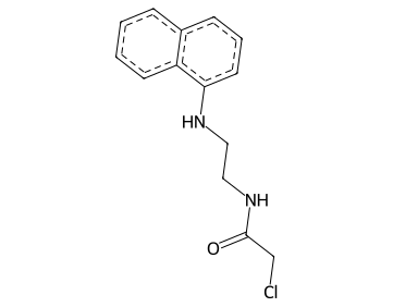 O=C(CCl)NCCNc1cccc2ccccc12